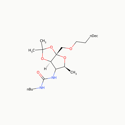 CCCCCCCCCCCCOC[C@@]12O[C@@H](C)C(NC(=O)NCCCC)[C@H]1OC(C)(C)O2